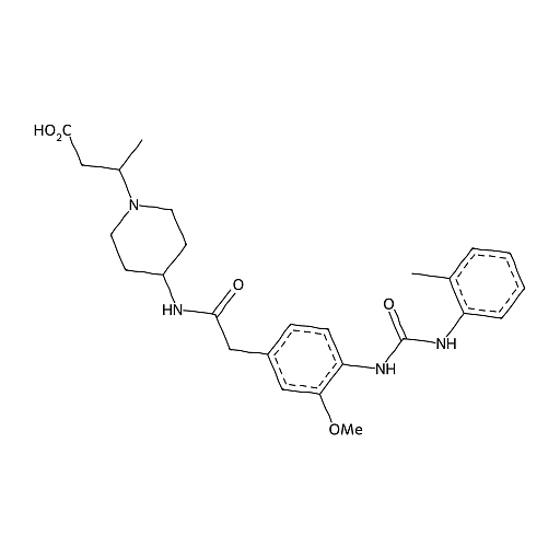 COc1cc(CC(=O)NC2CCN(C(C)CC(=O)O)CC2)ccc1NC(=O)Nc1ccccc1C